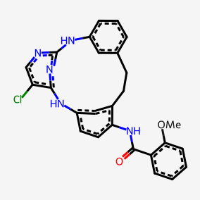 COc1ccccc1C(=O)Nc1ccc2cc1CCc1cccc(c1)Nc1ncc(Cl)c(n1)N2